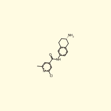 Cc1cc(C(=O)Nc2ccc3c(c2)CC[C@H](N)C3)cc(Cl)n1